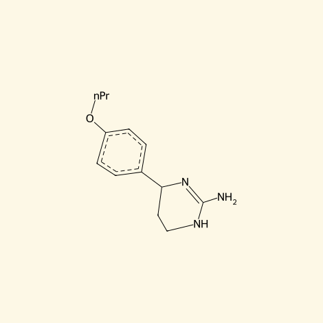 CCCOc1ccc(C2CCNC(N)=N2)cc1